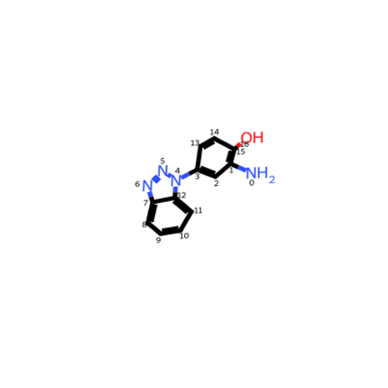 Nc1cc(-n2nnc3ccccc32)ccc1O